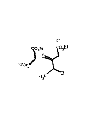 CCOC(=O)CC(=O)C(C)Cl.CCOC(=O)CC(=O)[O-].[K+]